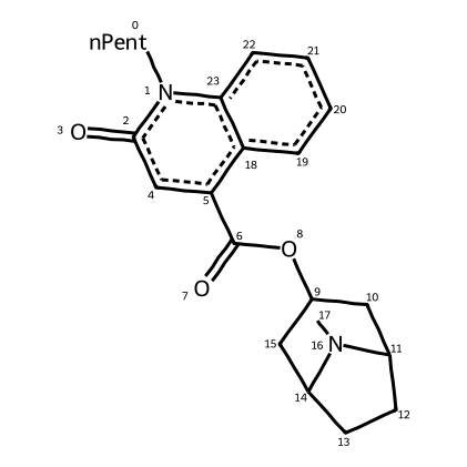 CCCCCn1c(=O)cc(C(=O)OC2CC3CCC(C2)N3C)c2ccccc21